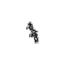 CCN1CCC(F)(c2nc3c(C)cc(-c4cc(F)c5nc(C)cn5c4)nc3c(=O)[nH]2)CC1